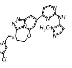 Cn1nccc1Nc1nccc(-c2cc3n4c(nnc4c2)[C@H](Cn2cc(Cl)cn2)CCO3)n1